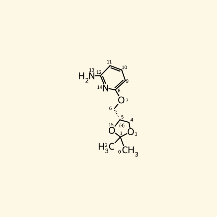 CC1(C)OC[C@@H](COc2cccc(N)n2)O1